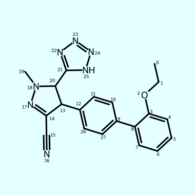 CCOc1ccccc1-c1ccc(C2C(C#N)=NN(C)C2c2nnn[nH]2)cc1